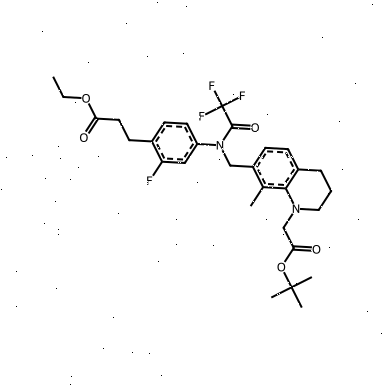 CCOC(=O)CCc1ccc(N(Cc2ccc3c(c2C)N(CC(=O)OC(C)(C)C)CCC3)C(=O)C(F)(F)F)cc1F